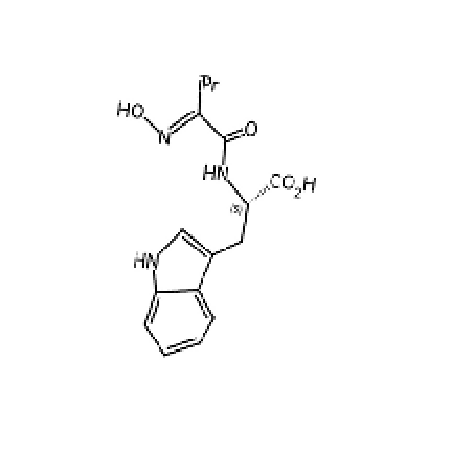 CC(C)C(=NO)C(=O)N[C@@H](Cc1c[nH]c2ccccc12)C(=O)O